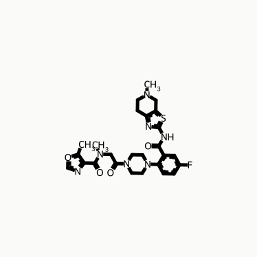 Cc1ocnc1C(=O)N(C)CC(=O)N1CCN(c2ccc(F)cc2C(=O)Nc2nc3c(s2)CN(C)CC3)CC1